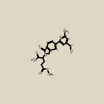 CC(C)(C)OC(=O)CCC(C(N)=O)N1Cc2cc(-c3cc(CCl)cc(N)n3)ccc2C1=O